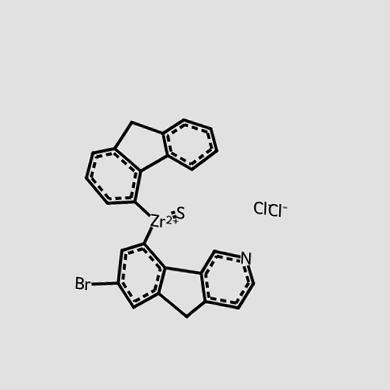 [Cl-].[Cl-].[S]=[Zr+2]([c]1cccc2c1-c1ccccc1C2)[c]1cc(Br)cc2c1-c1cnccc1C2